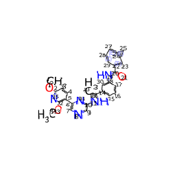 COc1ccc(-c2cncc(N[C@@H](C)c3cccc(NC(=O)C4=C/C=C/C=C/C=C\4)c3)n2)c(OC)n1